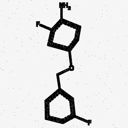 Nc1ccc(OCc2cccc(F)c2)cc1F